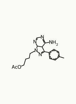 CC(=O)OCCCCN1N=C(c2ccc(C)cc2)C2C(N)=NC=NC21